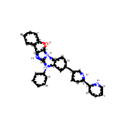 c1ccc(-n2c3cc(-c4ccc(-c5ccccn5)nc4)ccc3n3c4oc5ccccc5c4nc23)cc1